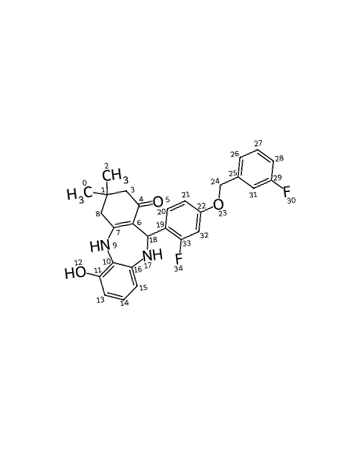 CC1(C)CC(=O)C2=C(C1)Nc1c(O)cccc1NC2c1ccc(OCc2cccc(F)c2)cc1F